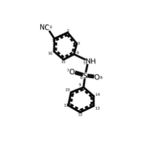 N#Cc1ccc(NS(=O)(=O)c2ccccc2)cc1